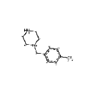 FC(F)(F)c1ccc(CN2CCNCC2)cc1